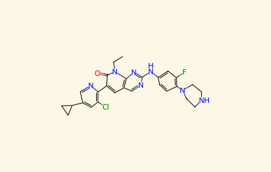 CCn1c(=O)c(-c2ncc(C3CC3)cc2Cl)cc2cnc(Nc3ccc(N4CCNCC4)c(F)c3)nc21